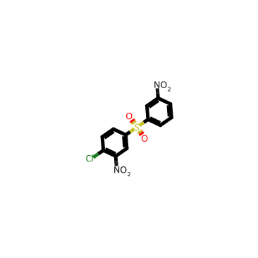 O=[N+]([O-])c1cccc(S(=O)(=O)c2ccc(Cl)c([N+](=O)[O-])c2)c1